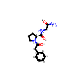 NC(=O)CNC(=O)[C@@H]1CCCN1C(=O)Cc1ccccc1